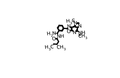 CC[C@@H](C)CC(=O)N[C@@H](N)c1cccc(-c2nc3c(nc(NC)c4ncn(C)c43)o2)c1